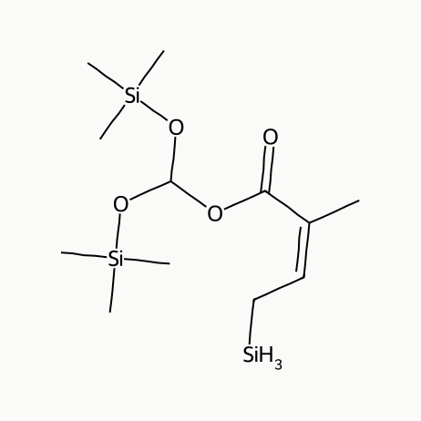 CC(=CC[SiH3])C(=O)OC(O[Si](C)(C)C)O[Si](C)(C)C